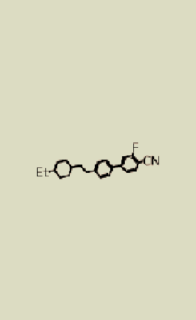 CCC1CCC(CCc2ccc(-c3ccc(C#N)c(F)c3)cc2)CC1